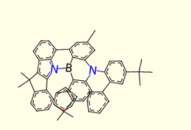 Cc1cc2c3c(c1)N(c1ccc(C(C)(C)C)cc1-c1ccccc1)c1ccc4c(c1B3n1c3c(c5cccc-2c51)C(C)(C)c1ccccc1-3)-c1ccccc1C4(C)C